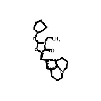 CCN1C(=O)/C(=C\c2cc3c4c(c2)CCCN4CCC3)O/C1=N/C1CCCCC1